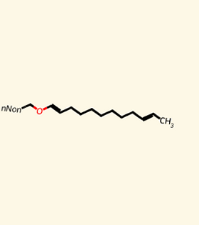 CC=CCCCCCCCC=COCCCCCCCCCC